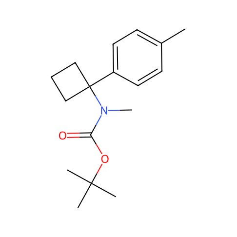 Cc1ccc(C2(N(C)C(=O)OC(C)(C)C)CCC2)cc1